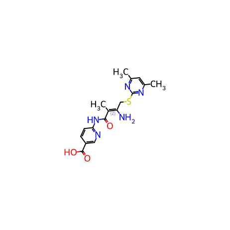 C/C(C(=O)Nc1ccc(C(=O)O)cn1)=C(/N)CSc1nc(C)cc(C)n1